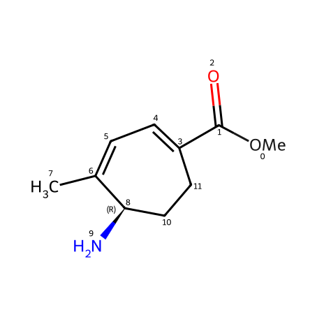 COC(=O)C1=CC=C(C)[C@H](N)CC1